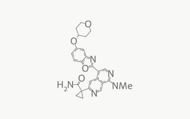 CNc1ncc(-c2nc3cc(OC4CCOCC4)ccc3o2)c2cc(C3(C(N)=O)CC3)ncc12